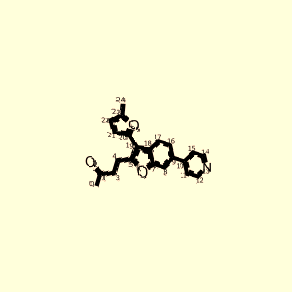 CC(=O)CCc1oc2cc(-c3ccncc3)ccc2c1-c1ccc(C)o1